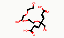 O=C(O)C=CC(C=CC(=O)O)(CO)OCCO.OCCOCCO